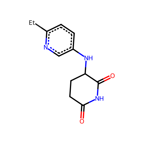 CCc1ccc(NC2CCC(=O)NC2=O)cn1